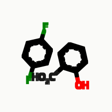 Fc1ccc(F)cc1.O=C(O)c1ccccc1O